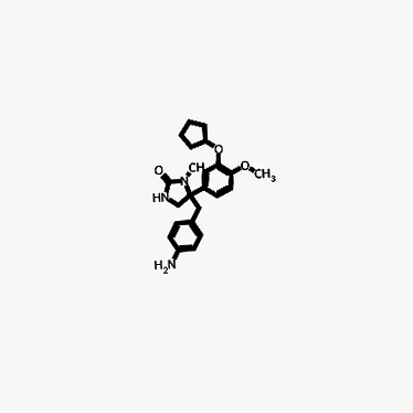 COc1ccc(C2(Cc3ccc(N)cc3)CNC(=O)N2C)cc1OC1CCCC1